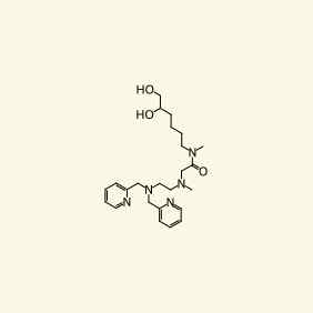 CN(CCN(Cc1ccccn1)Cc1ccccn1)CC(=O)N(C)CCCCC(O)CO